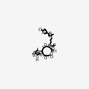 CC[C@H]1OC(=O)[C@H](C)C(=O)[C@H](C)[C@@H](O[C@@H]2O[C@H](C)C[C@H](N(C)C)[C@H]2O)[C@@](C)(OC)C[C@@H](C)C(=O)[C@H](C)[C@H]2N(CCCCn3cc(-c4ccc(Cl)nc4)nc3C)C(=O)O[C@]12C